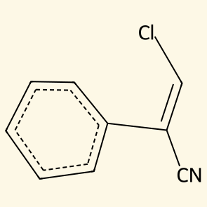 N#C/C(=C/Cl)c1ccccc1